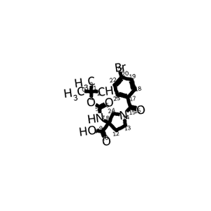 CC(C)(C)OC(=O)NC1(C(=O)O)CCN(C(=O)c2ccc(Br)cc2)C1